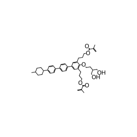 C=C(C)C(=O)OCCCc1cc(-c2ccc(-c3ccc(C4CCC(C)CC4)cc3)cc2)cc(CCCOC(=O)C(=C)C)c1OCCC(CO)CO